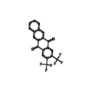 O=C1c2cc(C(F)(F)F)c(C(F)(F)F)cc2C(=O)c2cc3ccccc3cc21